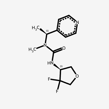 C[C@@H](c1ccncc1)N(C)C(=O)N[C@H]1COCC1(F)F